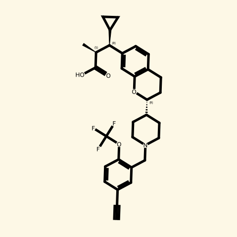 C#Cc1ccc(OC(F)(F)F)c(CN2CCC([C@H]3CCc4ccc([C@H](C5CC5)[C@H](C)C(=O)O)cc4O3)CC2)c1